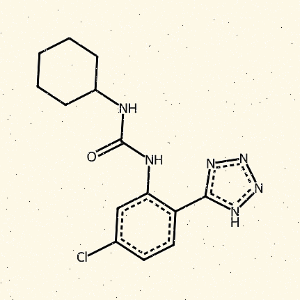 O=C(Nc1cc(Cl)ccc1-c1nnn[nH]1)NC1CCCCC1